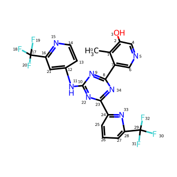 Cc1c(O)cncc1-c1nc(Nc2ccnc(C(F)(F)F)c2)nc(-c2cccc(C(F)(F)F)n2)n1